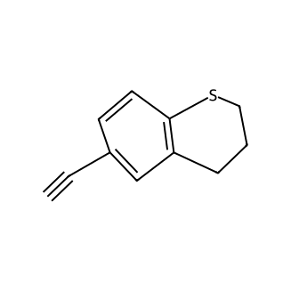 C#Cc1ccc2c(c1)CCCS2